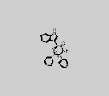 O=C1N[C@@H](c2ccccc2)[C@H](c2ccccc2)N=C1c1c[nH]c2ccccc12